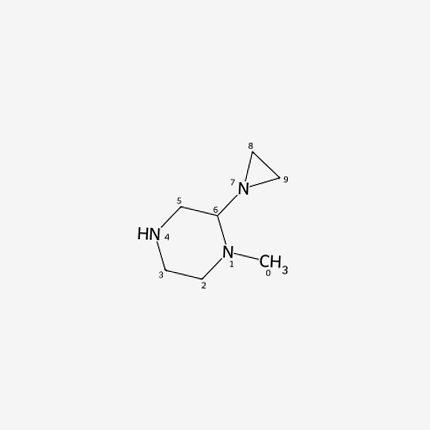 CN1CCNCC1N1CC1